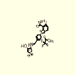 NC(=O)c1cccc2cn(-c3ccc(CN[C@@H]4CS(=O)(=O)C[C@H]4O)cc3)nc12.O=C(O)C(F)(F)F